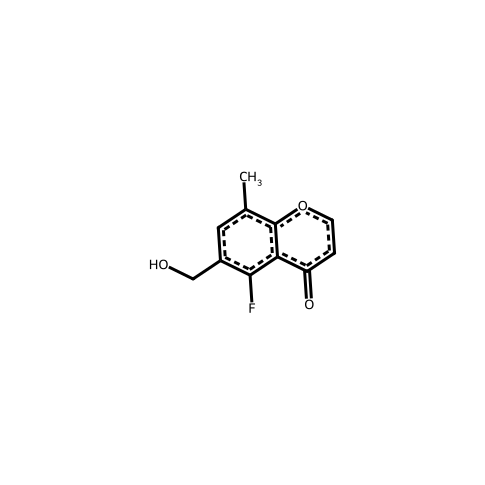 Cc1cc(CO)c(F)c2c(=O)ccoc12